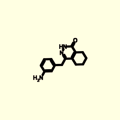 Nc1cccc(Cc2n[nH]c(=O)c3c2CCCC3)c1